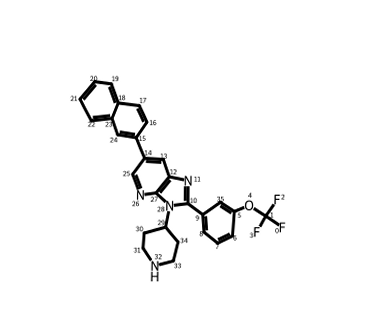 FC(F)(F)Oc1cccc(-c2nc3cc(-c4ccc5ccccc5c4)cnc3n2C2CCNCC2)c1